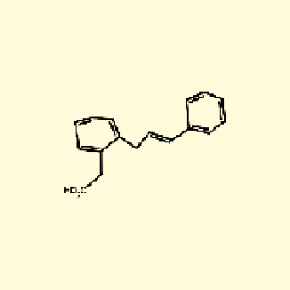 O=C(O)Cc1ccccc1CC=Cc1ccccc1